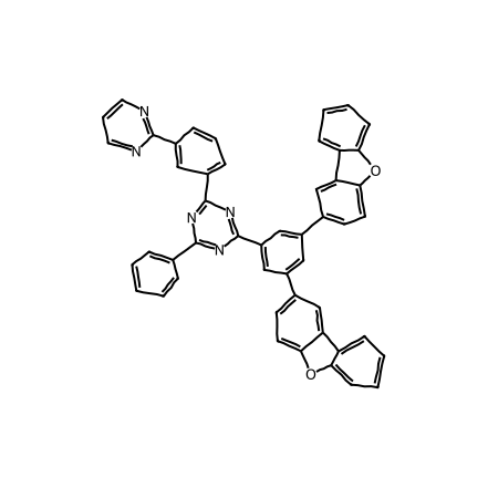 c1ccc(-c2nc(-c3cc(-c4ccc5oc6ccccc6c5c4)cc(-c4ccc5oc6ccccc6c5c4)c3)nc(-c3cccc(-c4ncccn4)c3)n2)cc1